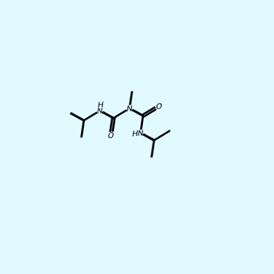 CC(C)NC(=O)N(C)C(=O)NC(C)C